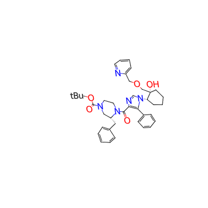 CC(C)(C)OC(=O)N1CCN(C(=O)c2ncn([C@H]3CCCC[C@]3(O)COCc3ccccn3)c2-c2ccccc2)[C@H](Cc2ccccc2)C1